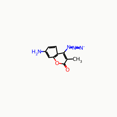 Cc1c(N=[N+]=[N-])c2ccc(N)cc2oc1=O